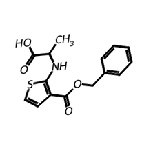 CC(Nc1sccc1C(=O)OCc1ccccc1)C(=O)O